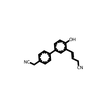 N#CC/C=C/c1cc(-c2ccc(CC#N)cc2)ccc1O